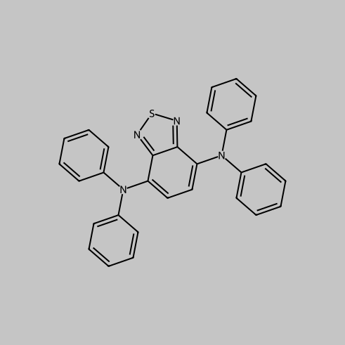 c1ccc(N(c2ccccc2)c2ccc(N(c3ccccc3)c3ccccc3)c3nsnc23)cc1